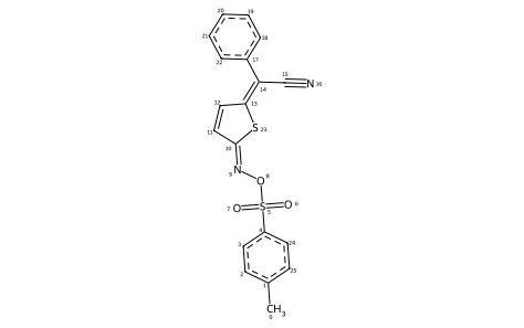 Cc1ccc(S(=O)(=O)ON=C2C=C/C(=C(/C#N)c3ccccc3)S2)cc1